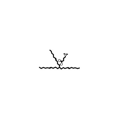 CCCCCC=CCCCC(CCCC=CCCCCC)C(CCC=CCCCCC)OC(=O)CCCN(C)C